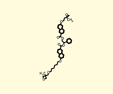 CC1(COCCCCCCOc2ccc3cc(C(=O)OC(COC(=O)c4ccc5cc(OCCC6(C)CO6)ccc5c4)c4ccccc4)ccc3c2)COC1